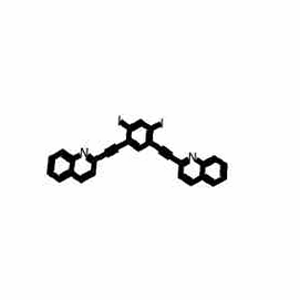 Ic1cc(I)c(C#Cc2ccc3ccccc3n2)cc1C#Cc1ccc2ccccc2n1